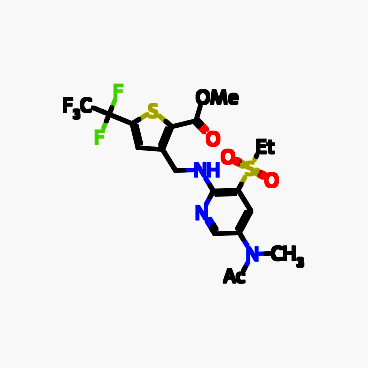 CCS(=O)(=O)c1cc(N(C)C(C)=O)cnc1NCc1cc(C(F)(F)C(F)(F)F)sc1C(=O)OC